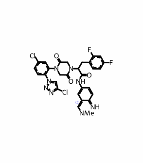 CN/C=C1/C=C(NC(=O)C(Cc2ccc(F)cc2F)N2CC(=O)N(c3cc(Cl)ccc3-n3cc(Cl)nn3)CC2=O)C=CC1=N